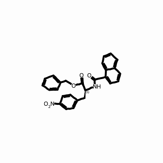 O=C(N[C@@H](Cc1ccc([N+](=O)[O-])cc1)C(=O)OCc1ccccc1)c1cccc2ccccc12